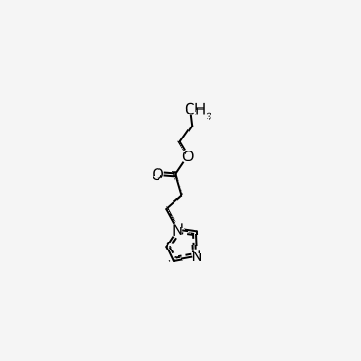 CCCOC(=O)CCn1c[c]nc1